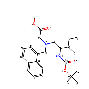 CCC(C)C(CN(CC(=O)OC)Cc1cccc2ccccc12)NC(=O)OC(C)(C)C